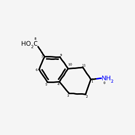 NC1CCc2ccc(C(=O)O)cc2C1